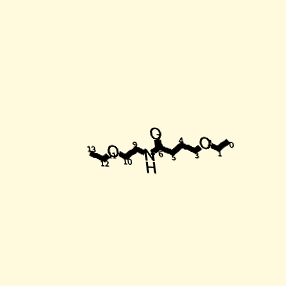 CCOCCCC(=O)NCCOCC